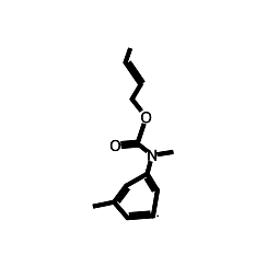 CC=CCOC(=O)N(C)c1c[c]cc(C)c1